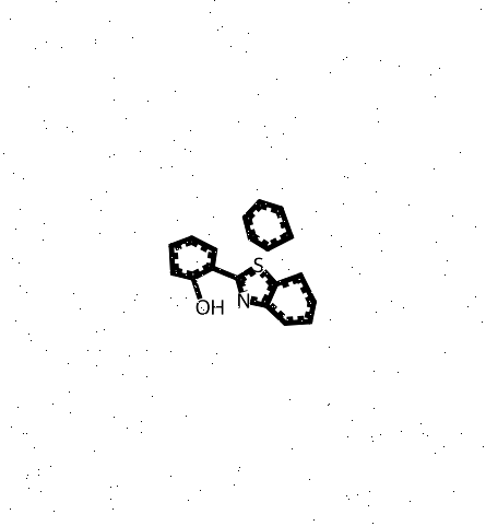 Oc1ccccc1-c1nc2ccccc2s1.c1ccccc1